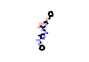 Cc1cc(N(C)c2nc(C(=O)O)c(N3CC(OCc4ccccc4)C3)s2)nnc1Nc1nc2ccccc2s1